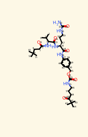 CC(C)[C@H](NC(=O)CCC(C)(C)C)C(=O)N[C@@H](CCCNC(N)=O)C(=O)Nc1ccc(COC(=O)NCCCC(=O)C(C)(C)C)cc1